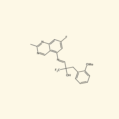 COc1ccccc1CC(O)(C=Nc1cc(F)cc2nc(C)ncc12)C(F)(F)F